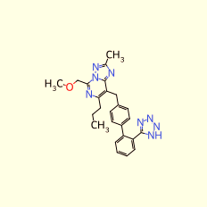 CCCc1nc(COC)n2nc(C)nc2c1Cc1ccc(-c2ccccc2-c2nnn[nH]2)cc1